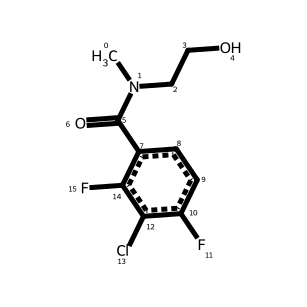 CN(CCO)C(=O)c1ccc(F)c(Cl)c1F